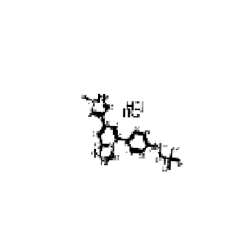 Cl.Cl.Cn1cc(-c2cc(-c3ccc(NCC(C)(C)C)cc3)n3cnnc3c2)cn1